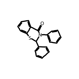 O=C1c2ccccc2SC(c2ccccc2)N1c1ccccc1